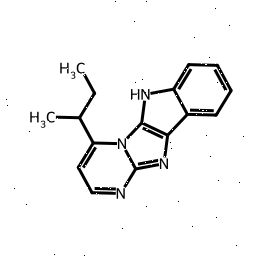 CCC(C)c1ccnc2nc3c4ccccc4[nH]c3n12